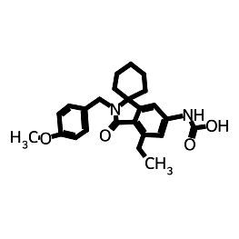 CCc1cc(NC(=O)O)cc2c1C(=O)N(Cc1ccc(OC)cc1)C21CCCCC1